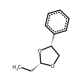 CC[C@H]1OC[C@@H](c2ccccc2)O1